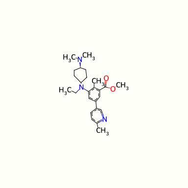 CCN(c1cc(-c2ccc(C)nc2)cc(C(=O)OC)c1C)[C@H]1CC[C@H](N(C)C)CC1